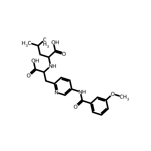 COc1cccc(C(=O)Nc2ccc(CC(NC(CC(C)C)C(=O)O)C(=O)O)nc2)c1